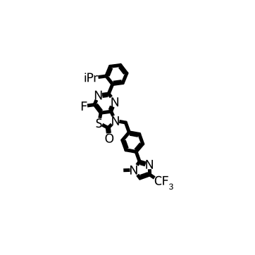 CC(C)c1ccccc1-c1nc(F)c2sc(=O)n(Cc3ccc(-c4nc(C(F)(F)F)cn4C)cc3)c2n1